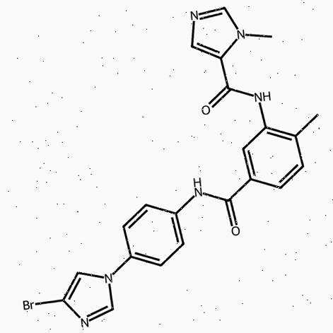 Cc1ccc(C(=O)Nc2ccc(-n3cnc(Br)c3)cc2)cc1NC(=O)c1cncn1C